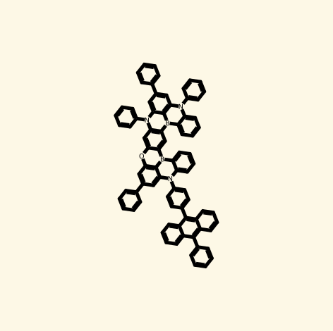 c1ccc(-c2cc3c4c(c2)N(c2ccc(-c5c6ccccc6c(-c6ccccc6)c6ccccc56)cc2)c2ccccc2B4c2cc4c(cc2O3)N(c2ccccc2)c2cc(-c3ccccc3)cc3c2B4c2ccccc2N3c2ccccc2)cc1